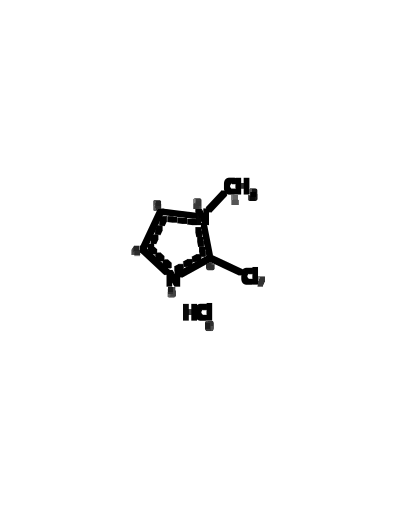 Cl.Cn1ccnc1Cl